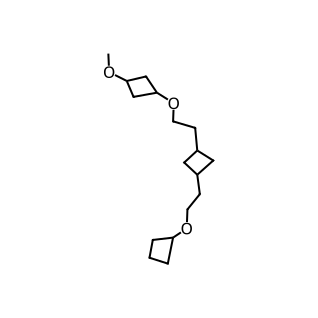 COC1CC(OCCC2CC(CCOC3CCC3)C2)C1